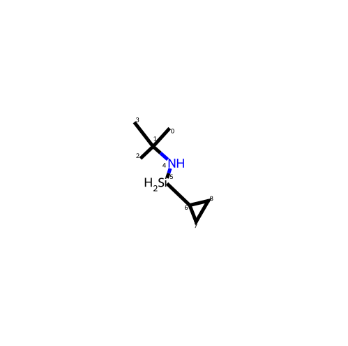 CC(C)(C)N[SiH2]C1CC1